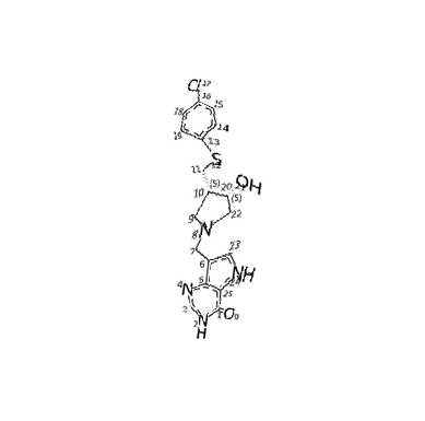 O=c1[nH]cnc2c(CN3C[C@H](CSc4ccc(Cl)cc4)[C@H](O)C3)c[nH]c12